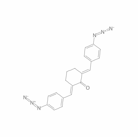 [N-]=[N+]=Nc1ccc(/C=C2\CCC/C(=C\c3ccc(N=[N+]=[N-])cc3)C2=O)cc1